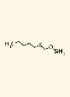 CCCCCSCO[SiH3]